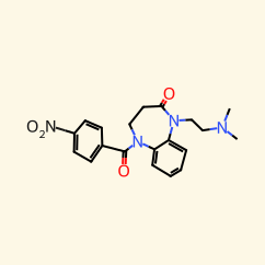 CN(C)CCN1C(=O)CCN(C(=O)c2ccc([N+](=O)[O-])cc2)c2ccccc21